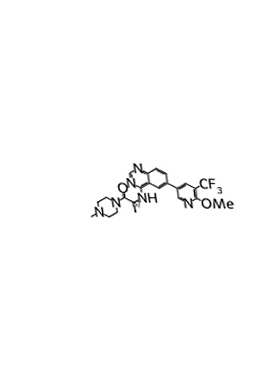 COc1ncc(-c2ccc3ncnc(N[C@@H](C)C(=O)N4CCN(C)CC4)c3c2)cc1C(F)(F)F